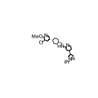 COc1ncc([C@H]2CC[C@H](CNc3cc(-c4cnn(C(C)C)c4)ccn3)CC2)cc1Cl